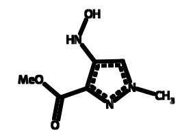 COC(=O)c1nn(C)cc1NO